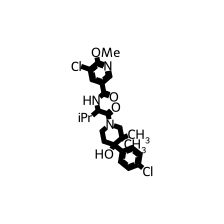 COc1ncc(C(=O)NC(C(=O)N2CCC(O)(c3ccc(Cl)cc3)C(C)(C)C2)C(C)C)cc1Cl